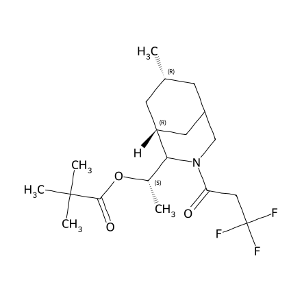 C[C@@H]1CC2C[C@@H](C1)C([C@H](C)OC(=O)C(C)(C)C)N(C(=O)CC(F)(F)F)C2